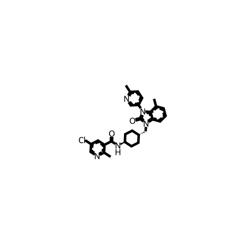 Cc1ccc(-n2c(=O)n(C[C@H]3CC[C@H](NC(=O)c4cc(Cl)cnc4C)CC3)c3cccc(C)c32)cn1